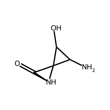 NC1C(O)C12NC2=O